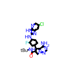 CC(C)(C)NC(=O)c1cn2ncnc(N)c2c1-c1ccc(Nc2nc3cc(Cl)cnc3[nH]2)c(F)c1